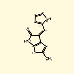 Cc1cc2c(s1)NC(=O)/C2=C\c1ccc[nH]1